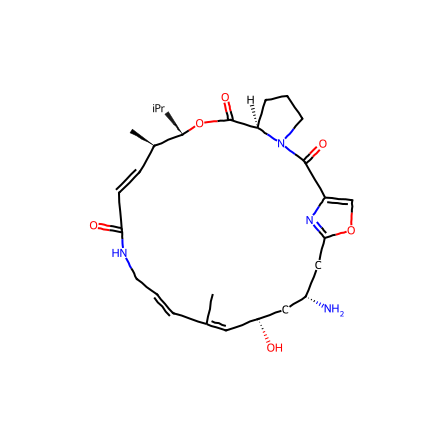 CC1=C\[C@@H](O)C[C@@H](N)Cc2nc(co2)C(=O)N2CCC[C@@H]2C(=O)O[C@H](C(C)C)[C@H](C)/C=C/C(=O)NC\C=C\1